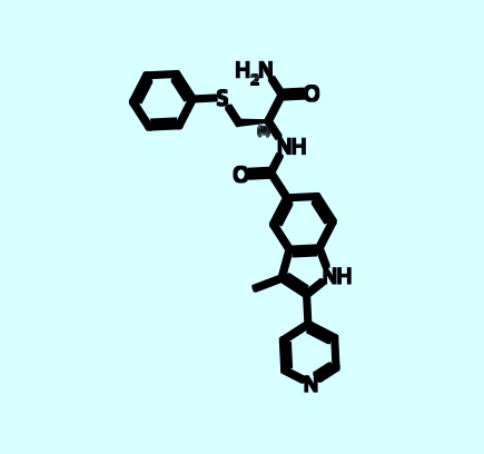 Cc1c(-c2ccncc2)[nH]c2ccc(C(=O)N[C@@H](CSc3ccccc3)C(N)=O)cc12